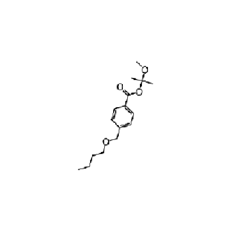 CCCCOCc1ccc(C(=O)OC(C)(C)OC)cc1